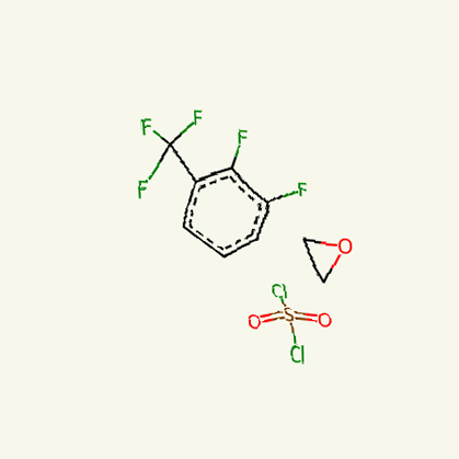 C1CO1.Fc1cccc(C(F)(F)F)c1F.O=S(=O)(Cl)Cl